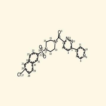 O=C(c1ccc(-c2ccncc2)nn1)N1CCN(S(=O)(=O)c2ccc3cc(Cl)ccc3c2)CC1